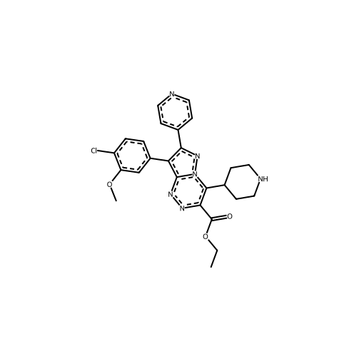 CCOC(=O)c1nnc2c(-c3ccc(Cl)c(OC)c3)c(-c3ccncc3)nn2c1C1CCNCC1